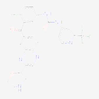 O=C(Nc1ccnc(C(F)(F)F)c1)Nc1ccc(F)c(C(=O)c2ccc3ncc(C4CNCCO4)nc3c2)c1